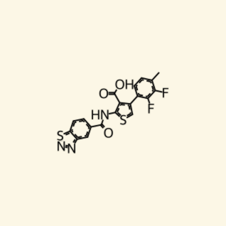 Cc1ccc(-c2csc(NC(=O)c3ccc4snnc4c3)c2C(=O)O)c(F)c1F